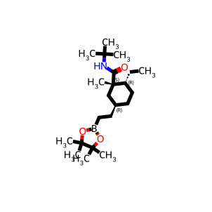 CC[C@@H]1CC[C@@H](CCB2OC(C)(C)C(C)(C)O2)C[C@]1(C)C(=O)NC(C)(C)C